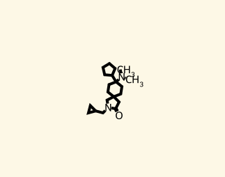 CN(C)C1(C2CCCC2)CCC2(CC1)CC(=O)N(CC1CC1)C2